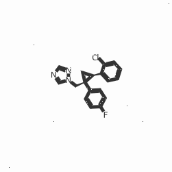 Fc1ccc([C@]2(Cn3cncn3)C[C@H]2c2ccccc2Cl)cc1